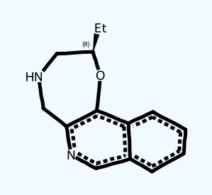 CC[C@@H]1CNCc2ncc3ccccc3c2O1